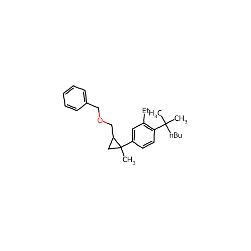 CCCCC(C)(C)c1ccc(C2(C)CC2COCc2ccccc2)cc1CC